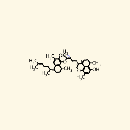 CC(C)=CCCC(C)[C@@H]1CC[C@@H](C)c2c1cc(C)c(O)c2O/C(C)=C\CC[C@@H]1COc2c(C)cc(O)c3c2[C@H]1CC[C@H]3C